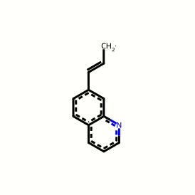 [CH2]C=Cc1ccc2cccnc2c1